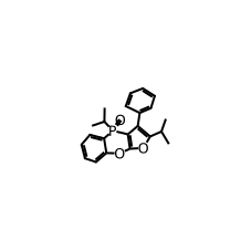 CC(C)c1oc2c(c1-c1ccccc1)P(=O)(C(C)C)c1ccccc1O2